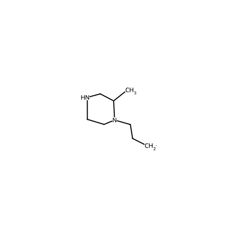 [CH2]CCN1CCNCC1C